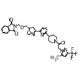 Cc1cc(C(F)(F)F)nn1CC(=O)N1CCC(c2nc(C3=NOC(COCN4C(=O)c5ccccc5C4=O)C3)cs2)CC1